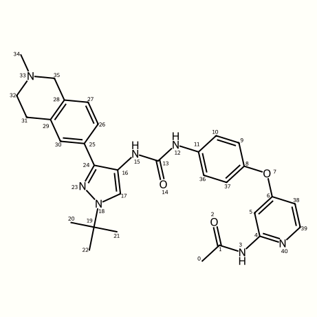 CC(=O)Nc1cc(Oc2ccc(NC(=O)Nc3cn(C(C)(C)C)nc3-c3ccc4c(c3)CCN(C)C4)cc2)ccn1